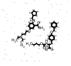 CCCCOC(=O)NC(Cc1ccc(OCc2ccccc2)cc1)C(=O)O.CCN(CC)CCCOc1ccc(NCC2CCCC2)c(C(N)=O)c1